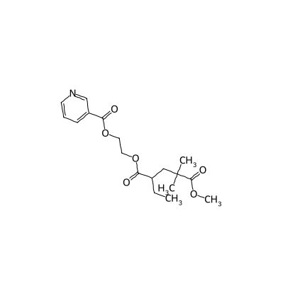 CCC(CC(C)(C)C(=O)OC)C(=O)OCCOC(=O)c1cccnc1